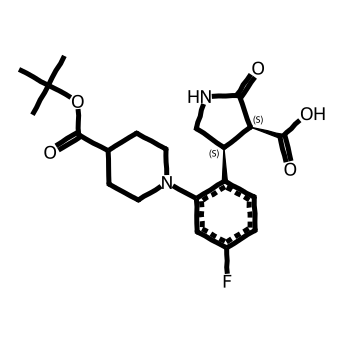 CC(C)(C)OC(=O)C1CCN(c2cc(F)ccc2[C@H]2CNC(=O)[C@H]2C(=O)O)CC1